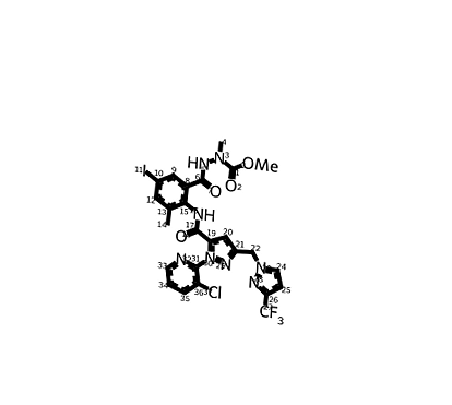 COC(=O)N(C)NC(=O)c1cc(I)cc(C)c1NC(=O)c1cc(Cn2ccc(C(F)(F)F)n2)nn1-c1ncccc1Cl